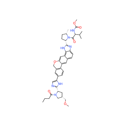 CCCC(=O)N1C[C@@H](COC)C[C@H]1c1ncc(-c2ccc3c(c2)COc2cc4c(ccc5nc([C@@H]6CC[C@H](C)N6C(=O)C(NC(=O)OC)C(C)C)[nH]c54)cc2-3)[nH]1